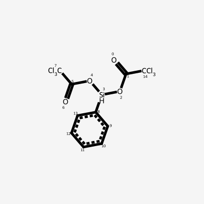 O=C(O[SiH](OC(=O)C(Cl)(Cl)Cl)c1ccccc1)C(Cl)(Cl)Cl